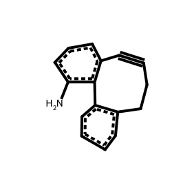 Nc1cccc2c1-c1ccccc1CCC#C2